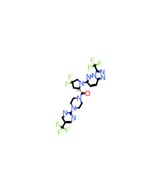 O=C([C@@H]1CC(F)(F)CN1c1ccc2nnc(C(F)(F)F)n2n1)N1CCN(c2ncc(C(F)(F)F)cn2)CC1